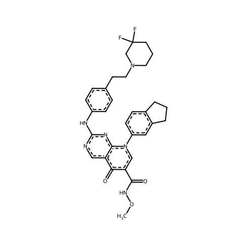 CONC(=O)c1cn(-c2ccc3c(c2)CCC3)c2nc(Nc3ccc(CCN4CCCC(F)(F)C4)cc3)ncc2c1=O